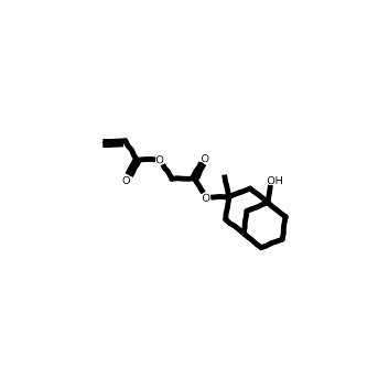 C=CC(=O)OCC(=O)OC1(C)CC2CCCC(O)(C2)C1